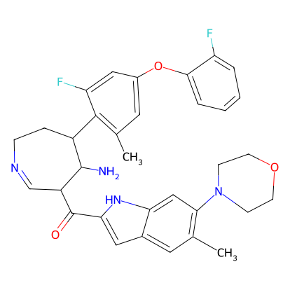 Cc1cc2cc(C(=O)C3C=NCCC(c4c(C)cc(Oc5ccccc5F)cc4F)C3N)[nH]c2cc1N1CCOCC1